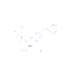 COC[C@H]1C[C@@]2(CN(C)C(=O)c3c([O-])c(=O)c(C(=O)NCc4cccc(Cl)c4F)cn32)C1.[K+]